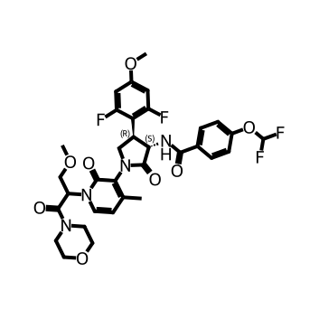 COCC(C(=O)N1CCOCC1)n1ccc(C)c(N2C[C@@H](c3c(F)cc(OC)cc3F)[C@H](NC(=O)c3ccc(OC(F)F)cc3)C2=O)c1=O